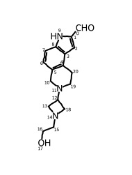 O=Cc1cc2c3c(ccc2[nH]1)CN(C1CN(CCO)C1)CC3